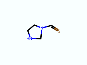 S=CN1CCNC1